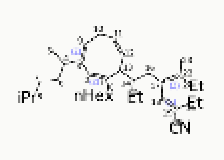 CCCCCC/C1=C/C(C(C)CCC(C)C)=C\CC=CC1C(CC)CC(/C=C(/C#N)CC)=C(\C)CC